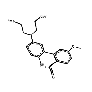 COc1ccc(C=O)c(-c2cc(N(CCO)CCO)ccc2N)c1